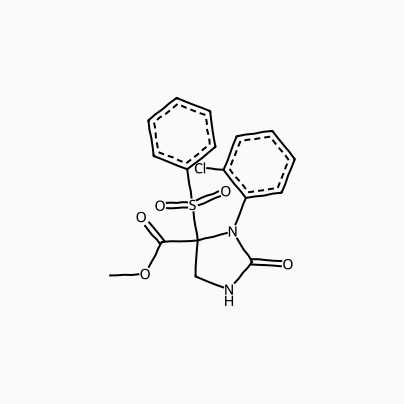 COC(=O)C1(S(=O)(=O)c2ccccc2)CNC(=O)N1c1ccccc1Cl